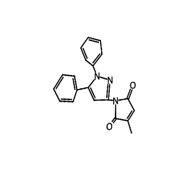 CC1=CC(=O)N(c2cc(-c3ccccc3)n(-c3ccccc3)n2)C1=O